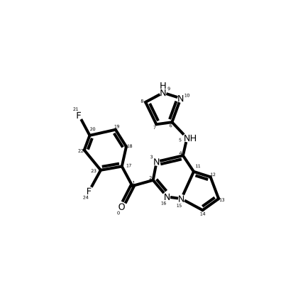 O=C(c1nc(Nc2cc[nH]n2)c2cccn2n1)c1ccc(F)cc1F